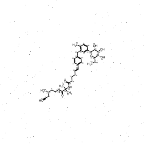 C#CCN(C)CCNC(=O)C(C)(C)NC(=O)CCC/C=C/c1ccc(Cc2cc([C@@H]3O[C@H](SC)[C@@H](O)[C@H](O)[C@H]3O)ccc2C)cc1